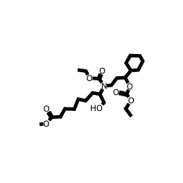 CCOC(=O)OC(CCN(C(=O)OCC)C(CO)CCCCCCC(=O)OC)C1CCCCC1